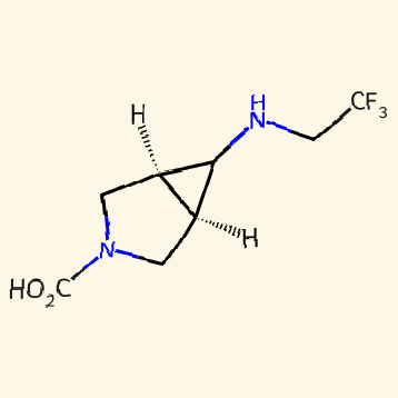 O=C(O)N1C[C@@H]2C(NCC(F)(F)F)[C@@H]2C1